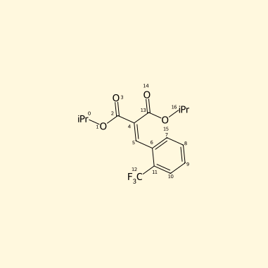 CC(C)OC(=O)C(=Cc1ccccc1C(F)(F)F)C(=O)OC(C)C